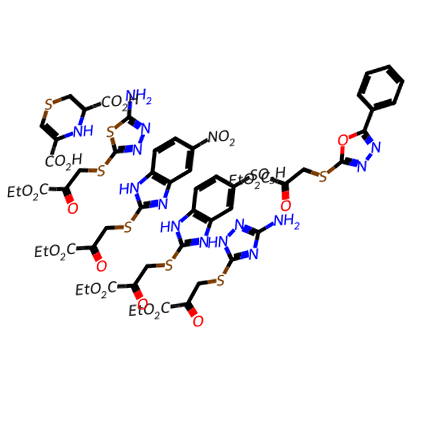 CCOC(=O)C(=O)CSc1nc(N)n[nH]1.CCOC(=O)C(=O)CSc1nc2cc(S(=O)(=O)O)ccc2[nH]1.CCOC(=O)C(=O)CSc1nc2cc([N+](=O)[O-])ccc2[nH]1.CCOC(=O)C(=O)CSc1nnc(-c2ccccc2)o1.CCOC(=O)C(=O)CSc1nnc(N)s1.O=C(O)C1=CSCC(C(=O)O)N1